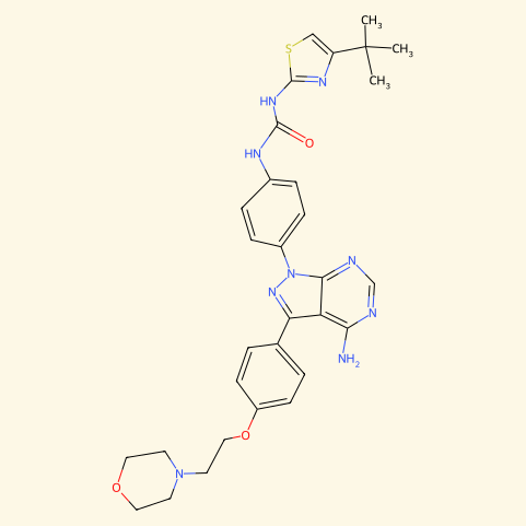 CC(C)(C)c1csc(NC(=O)Nc2ccc(-n3nc(-c4ccc(OCCN5CCOCC5)cc4)c4c(N)ncnc43)cc2)n1